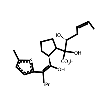 C/C=C\C[C@@H](O)C(O)(C(=O)O)C1CCC[C@@H]1/C(O)=C(/CCC)c1ccc(C)s1